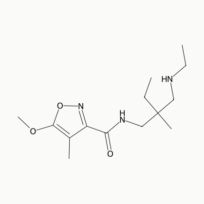 CCNCC(C)(CC)CNC(=O)c1noc(OC)c1C